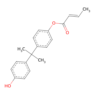 CC=CC(=O)Oc1ccc(C(C)(C)c2ccc(O)cc2)cc1